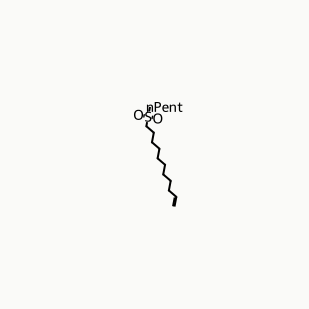 C=CCCCCCCCCCS(=O)(=O)CCCCC